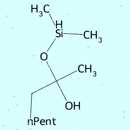 CCCCCCC(C)(O)O[SiH](C)C